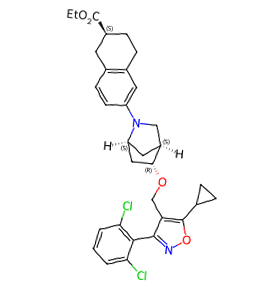 CCOC(=O)[C@H]1CCc2cc(N3C[C@@H]4C[C@H]3C[C@H]4OCc3c(-c4c(Cl)cccc4Cl)noc3C3CC3)ccc2C1